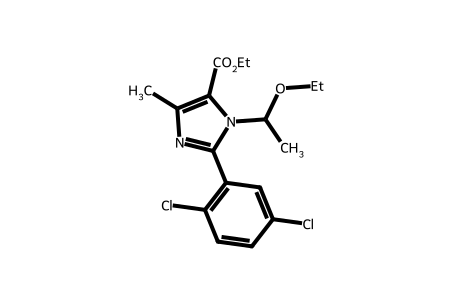 CCOC(=O)c1c(C)nc(-c2cc(Cl)ccc2Cl)n1C(C)OCC